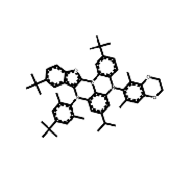 Cc1cc(C(C)(C)C)cc(C)c1N1c2cc(C(C)C)cc3c2B(c2cc(C(C)(C)C)ccc2N3c2c(C)cc3c(c2C)OCCO3)c2oc3ccc(C(C)(C)C)cc3c21